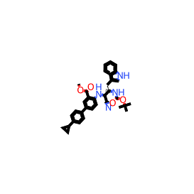 COC(=O)c1cc(-c2ccc(C3CC3)cc2)ccc1NC(C#N)[C@H](Cc1c[nH]c2ccccc12)NC(=O)OC(C)(C)C